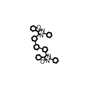 c1ccc(-c2nc(-c3cccc(-c4cccc(-c5cccc(-c6nc(-c7ccccc7)nc7oc8ccccc8c67)c5)c4)c3)c3c(n2)oc2ccccc23)cc1